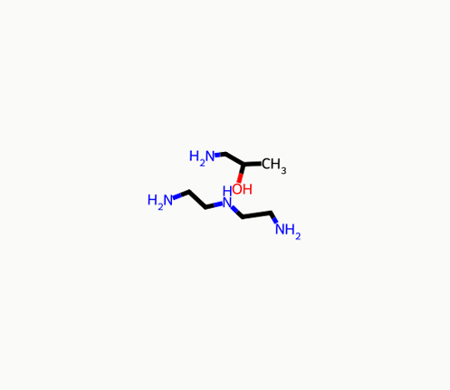 CC(O)CN.NCCNCCN